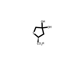 O=C(O)[C@@H]1CC(O)(O)CS1